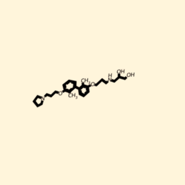 Cc1c(OCCCNCC(O)CO)cccc1-c1cccc(OCCCN2CCCC2)c1C